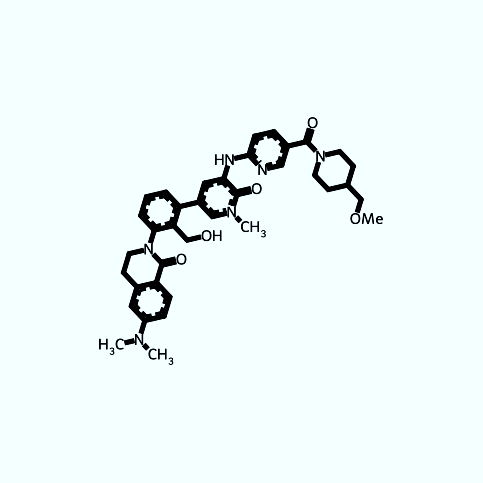 COCC1CCN(C(=O)c2ccc(Nc3cc(-c4cccc(N5CCc6cc(N(C)C)ccc6C5=O)c4CO)cn(C)c3=O)nc2)CC1